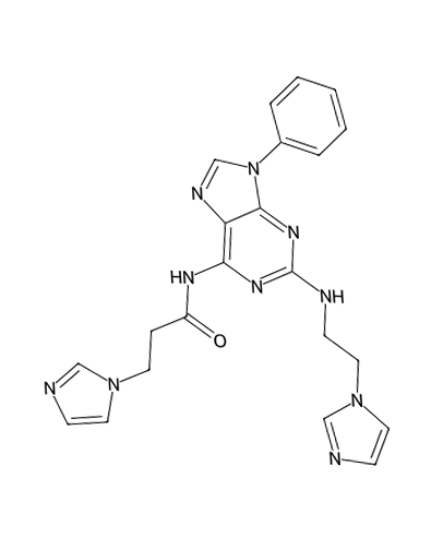 O=C(CCn1ccnc1)Nc1nc(NCCn2ccnc2)nc2c1ncn2-c1ccccc1